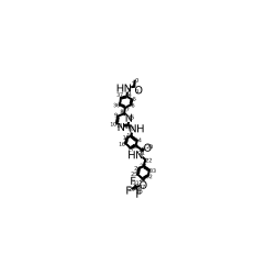 CC(=O)Nc1ccc(-c2ccnc(Nc3cccc(C(=O)NCc4ccc(OC(F)(F)F)cc4)c3)n2)cc1